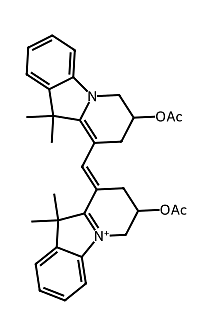 CC(=O)OC1CC(C=C2CC(OC(C)=O)C[N+]3=C2C(C)(C)c2ccccc23)=C2N(C1)c1ccccc1C2(C)C